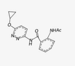 CC(=O)Nc1ccccc1C(=O)Nc1ccc(OC2CC2)nn1